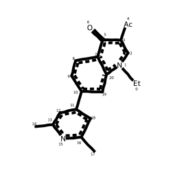 CCn1cc(C(C)=O)c(=O)c2ccc(-c3cc(C)nc(C)c3)cc21